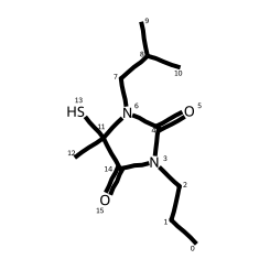 CCCN1C(=O)N(CC(C)C)C(C)(S)C1=O